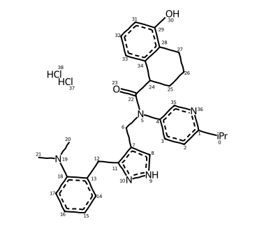 CC(C)c1ccc(N(Cc2c[nH]nc2Cc2ccccc2N(C)C)C(=O)C2CCCc3c(O)cccc32)cn1.Cl.Cl